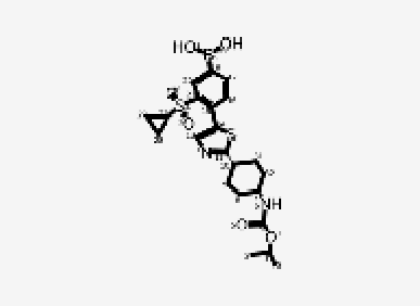 CC(C)OC(=O)N[C@H]1CC[C@H](c2ncc(-c3ccc(B(O)O)cc3S(=O)(=O)C3CC3)s2)CC1